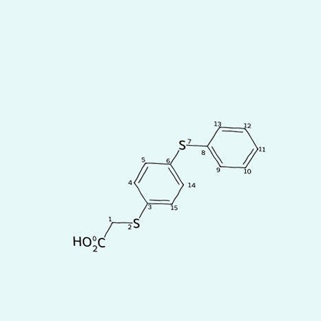 O=C(O)CSc1ccc(Sc2ccccc2)cc1